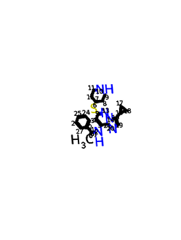 C[C@H](Nc1cc(SC2CCNCC2)nn2c(C3CC3)cnc12)c1ccccc1